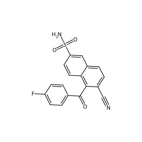 N#Cc1ccc2cc(S(N)(=O)=O)ccc2c1C(=O)c1ccc(F)cc1